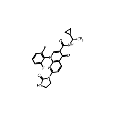 O=C(N[C@@H](C1CC1)C(F)(F)F)c1cn(-c2c(F)cccc2F)c2nc(N3CCNC3=O)ccc2c1=O